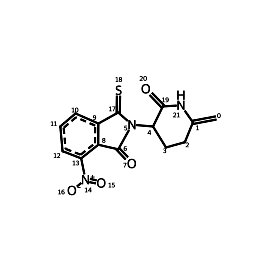 C=C1CCC(N2C(=O)c3c(cccc3[N+](=O)[O-])C2=S)C(=O)N1